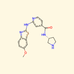 COc1ccc2nc(Nc3cc(C(=O)N[C@@H]4CCNC4)ccn3)sc2c1